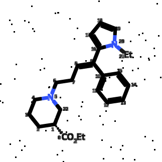 CCOC(=O)[C@@H]1CCCN(CC/C=C(\c2ccccc2)c2cccn2CC)C1